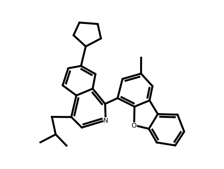 Cc1cc(-c2ncc(CC(C)C)c3ccc(C4CCCC4)cc23)c2oc3ccccc3c2c1